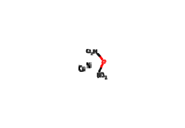 O=[N+]([O-])O[N+](=O)[O-].[Cu].[Ni]